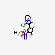 CS(=O)(=O)Nc1cc(-c2c(Cl)n3n(c2=O)CCCC3)c(F)cc1F